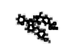 COC(=O)c1ccc(C(C)NC(=O)c2nn(C3CCCCO3)c3cccc(Cc4ccc(C(F)(F)F)cc4)c23)cc1